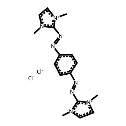 Cn1cc[n+](C)c1N=Nc1ccc(N=Nc2n(C)cc[n+]2C)cc1.[Cl-].[Cl-]